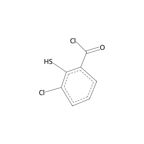 O=C(Cl)c1cccc(Cl)c1S